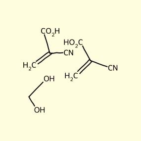 C=C(C#N)C(=O)O.C=C(C#N)C(=O)O.OCO